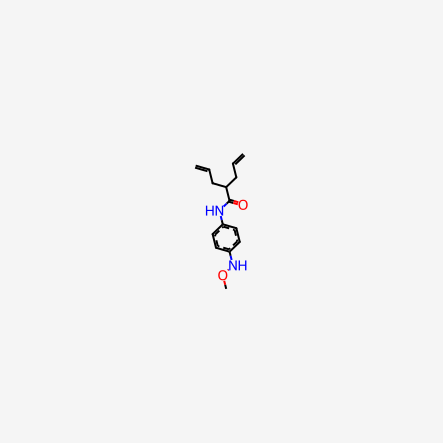 C=CCC(CC=C)C(=O)Nc1ccc(NOC)cc1